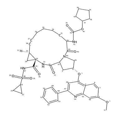 COc1ccc2c(O[C@@H]3CC4C(=O)N[C@]5(C(=O)NS(=O)(=O)C6CC6)C[C@H]5CCCCCCC(NC(=O)OC5CCCC5)C(=O)N4C3)cc(-c3ccccc3)nc2c1